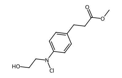 COC(=O)CCc1ccc(N(Cl)CCO)cc1